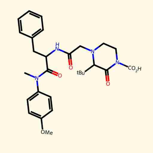 COc1ccc(N(C)C(=O)C(Cc2ccccc2)NC(=O)CN2CCN(C(=O)O)C(=O)C2C(C)(C)C)cc1